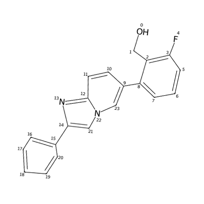 OCc1c(F)cccc1-c1ccc2nc(-c3ccccc3)cn2c1